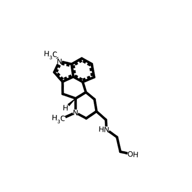 CN1CC(CNCCO)CC2c3cccc4c3c(cn4C)C[C@H]21